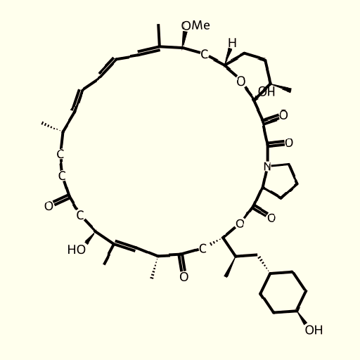 CO[C@H]1C[C@@H]2CC[C@@H](C)[C@@](O)(O2)C(=O)C(=O)N2CCCC2C(=O)O[C@H]([C@H](C)C[C@H]2CC[C@H](O)CC2)CC(=O)[C@H](C)/C=C(\C)[C@@H](O)CC(=O)CC[C@H](C)/C=C/C=C/C=C/1C